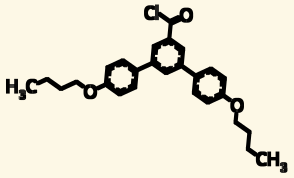 CCCCOc1ccc(-c2cc(C(=O)Cl)cc(-c3ccc(OCCCC)cc3)c2)cc1